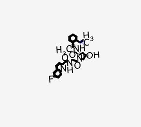 C/C=C/c1ccccc1[C@H](C)NC(=O)[C@@H]1C[C@@H](O)CN1C(=O)CNC(=O)c1ccc2cc(F)ccc2n1